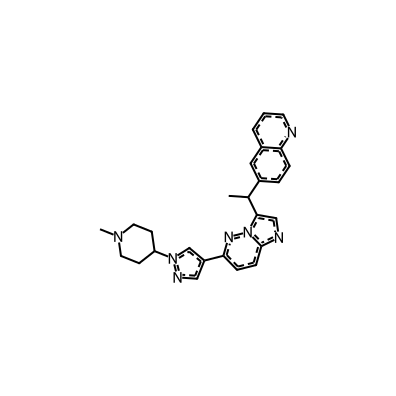 CC(c1ccc2ncccc2c1)c1cnc2ccc(-c3cnn(C4CCN(C)CC4)c3)nn12